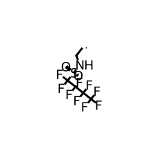 [CH2]CNS(=O)(=O)C(F)(F)C(F)(F)C(F)(F)C(F)(F)F